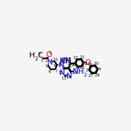 C=CC(=O)N1CCC[C@@H](N(C)c2ncnc(N)c2C(=N)c2ccc(Oc3ccccc3)cc2)C1